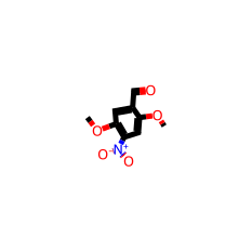 COc1cc([N+](=O)[O-])c(OC)cc1C=O